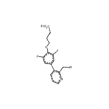 CCOC(=O)CCCOc1c(F)cc(-c2cccnc2CC(C)C)cc1F